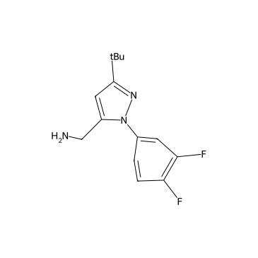 CC(C)(C)c1cc(CN)n(-c2ccc(F)c(F)c2)n1